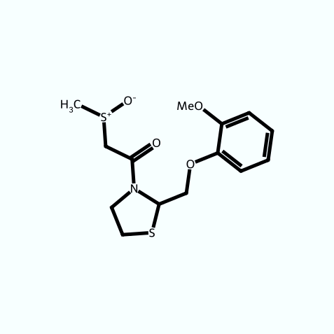 COc1ccccc1OCC1SCCN1C(=O)C[S+](C)[O-]